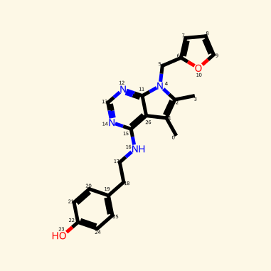 Cc1c(C)n(Cc2ccco2)c2ncnc(NCCc3ccc(O)cc3)c12